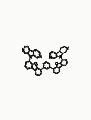 C1=CC2c3ccncc3N(c3cccc4c3oc3c(-c5cccc(-c6cccc7c6oc6c(-n8c9cnccc9c9ccncc98)cccc67)c5)cccc34)C2C=N1